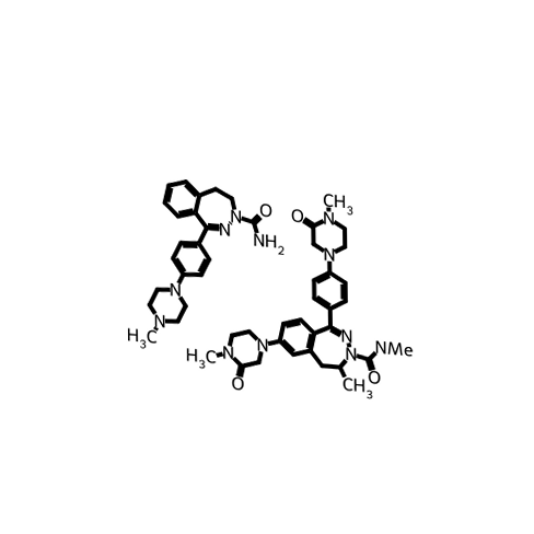 CN1CCN(c2ccc(C3=NN(C(N)=O)CCc4ccccc43)cc2)CC1.CNC(=O)N1N=C(c2ccc(N3CCN(C)C(=O)C3)cc2)c2ccc(N3CCN(C)C(=O)C3)cc2CC1C